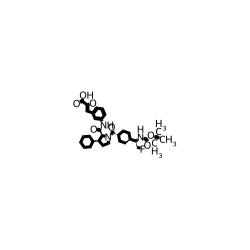 CC(C)(C)OC(=O)N[C@H](CF)[C@H]1CC[C@H](C(=O)N2CC[C@@H](C3CCCCC3)[C@H]2C(=O)Nc2ccc3oc(C(=O)O)cc3c2)CC1